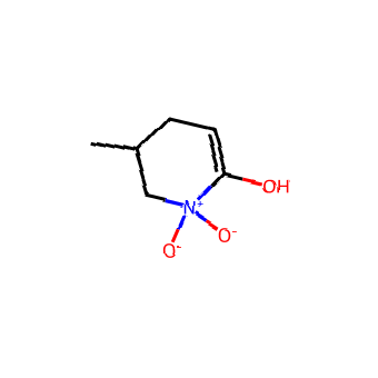 CC1CC=C(O)[N+]([O-])([O-])C1